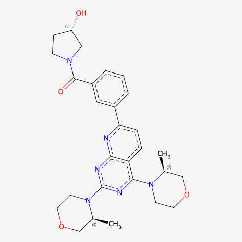 C[C@H]1COCCN1c1nc(N2CCOC[C@@H]2C)c2ccc(-c3cccc(C(=O)N4CC[C@H](O)C4)c3)nc2n1